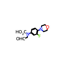 O=CCN(C(=O)O)c1ccc(N2CCOCC2)c(F)c1